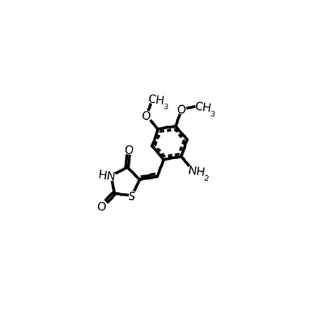 COc1cc(N)c(C=C2SC(=O)NC2=O)cc1OC